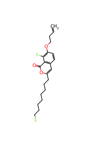 C=CCCOc1ccc2cc(CCCCCCCCF)oc(=O)c2c1F